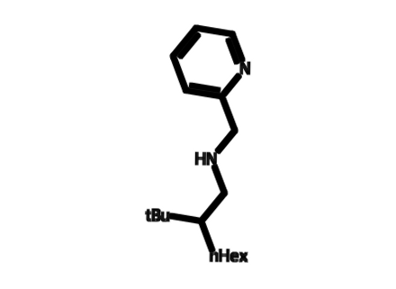 CCCCCCC(CNCc1ccccn1)C(C)(C)C